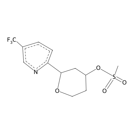 CS(=O)(=O)OC1CCOC(c2ccc(C(F)(F)F)cn2)C1